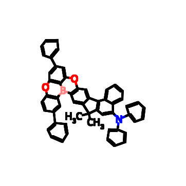 CC1(C)c2cc3c(cc2-c2c1cc(N(c1ccccc1)c1ccccc1)c1ccccc21)Oc1cc(-c2ccccc2)cc2c1B3c1cc(-c3ccccc3)ccc1O2